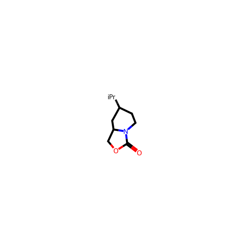 CC(C)C1CCN2C(=O)OCC2C1